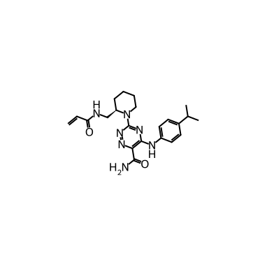 C=CC(=O)NC[C@H]1CCCCN1c1nnc(C(N)=O)c(Nc2ccc(C(C)C)cc2)n1